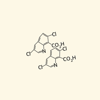 O=C(O)c1c(Cl)ccc2cc(Cl)cnc12.O=C(O)c1c(Cl)ccc2cc(Cl)cnc12